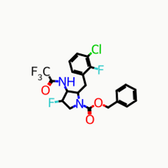 O=C(OCc1ccccc1)N1CC(F)C(NC(=O)C(F)(F)F)C1Cc1cccc(Cl)c1F